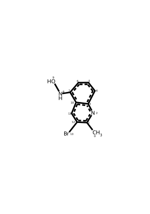 Cc1nc2cccc(NO)c2cc1Br